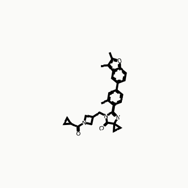 Cc1cc(-c2ccc3oc(C)c(C)c3c2)ccc1C1=NC2(CC2)C(=O)N1CC1CN(C(=O)C2CC2)C1